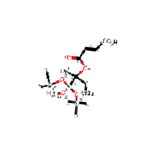 CC(C)C(CC(C)(C)C)(OC(=O)/C=C/C(=O)O)[Si](O[SiH3])(O[Si](C)(C)C)O[Si](C)(C)C